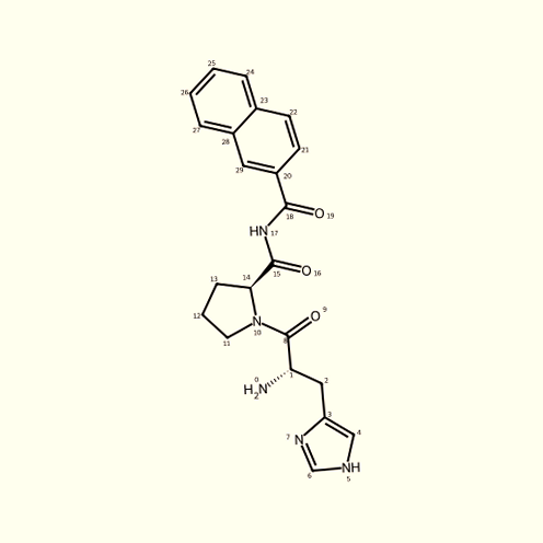 N[C@@H](Cc1c[nH]cn1)C(=O)N1CCC[C@H]1C(=O)NC(=O)c1ccc2ccccc2c1